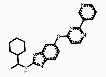 CC(Nc1nc2ccc(Oc3ccnc(-c4cccnc4)n3)cc2s1)C1CCCCC1